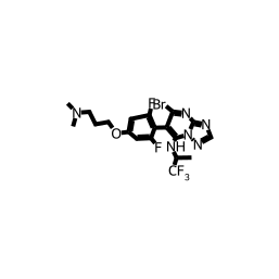 CC(Nc1c(-c2c(F)cc(OCCCN(C)C)cc2F)c(Br)nc2ncnn12)C(F)(F)F